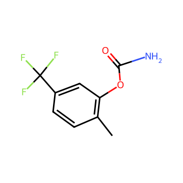 Cc1ccc(C(F)(F)F)cc1OC(N)=O